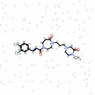 CN1CCN(CCCN2CCN(C(=O)/C=C/c3ccc(Cl)c(Cl)c3)CCC2=O)CC1=O